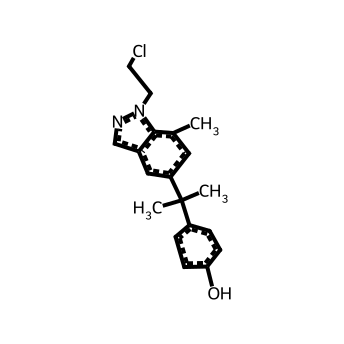 Cc1cc(C(C)(C)c2ccc(O)cc2)cc2cnn(CCCl)c12